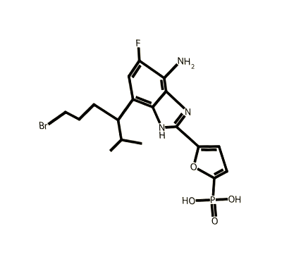 CC(C)C(CCCBr)c1cc(F)c(N)c2nc(-c3ccc(P(=O)(O)O)o3)[nH]c12